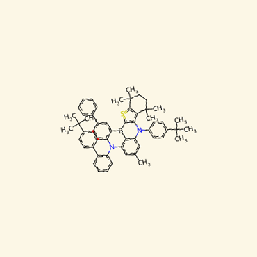 Cc1cc2c3c(c1)N(c1ccc(C(C)(C)C)cc1)c1c(sc4c1C(C)(C)CCC4(C)C)B3c1cc(-c3ccccc3)ccc1N2c1ccccc1-c1ccc(C(C)(C)C)cc1